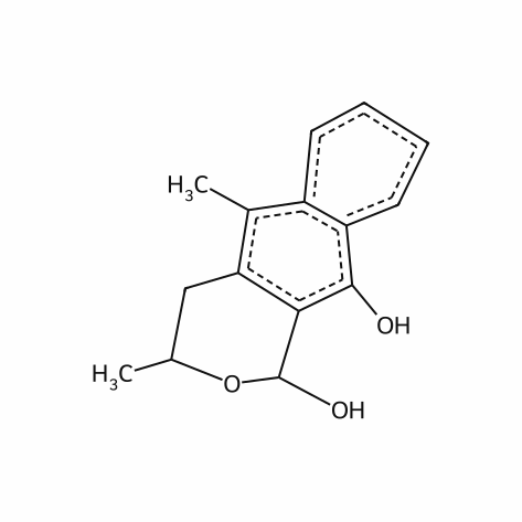 Cc1c2c(c(O)c3ccccc13)C(O)OC(C)C2